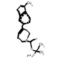 CC1=CCc2cc(C3=CCCN(C(=O)OC(C)(C)C)C3)ccc21